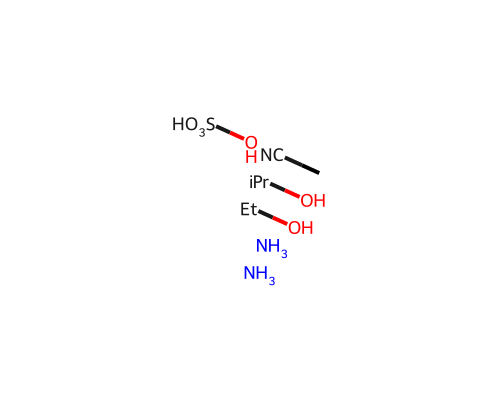 CC#N.CC(C)O.CCO.N.N.O=S(=O)(O)O